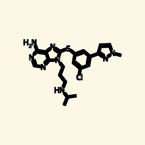 CC(C)NCCCn1c(Sc2cc(Cl)cc(-c3ccn(C)n3)c2)nc2c(N)ncnc21